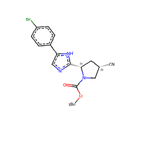 CC(C)(C)OC(=O)N1C[C@@H](C#N)C[C@H]1c1ncc(-c2ccc(Br)cc2)[nH]1